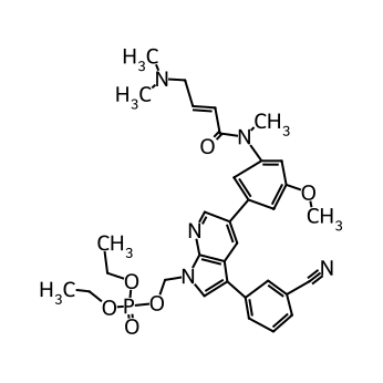 CCOP(=O)(OCC)OCn1cc(-c2cccc(C#N)c2)c2cc(-c3cc(OC)cc(N(C)C(=O)/C=C/CN(C)C)c3)cnc21